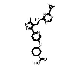 Cc1noc(-c2ccc(O[C@H]3CCC[C@H](C(=O)O)C3)cn2)c1CNc1ncnc(C2CC2)n1